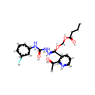 CCCC(=O)OCOC(=NNC(=O)Nc1cccc(F)c1)c1cccnc1C(C)=O